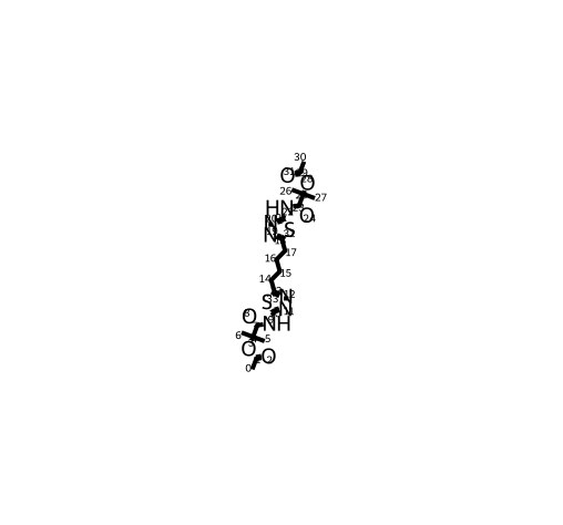 CC(=O)OC(C)(C)C(=O)Nc1nnc(CCCCc2nnc(NC(=O)C(C)(C)OC(C)=O)s2)s1